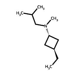 CC[C@H]1C[C@H](N(C)CC(C)C)C1